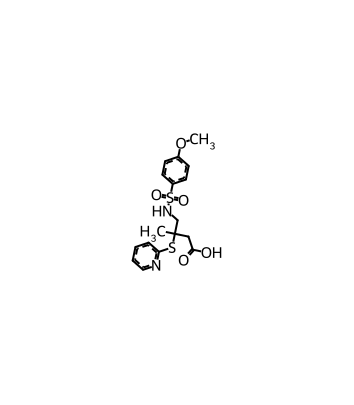 COc1ccc(S(=O)(=O)NCC(C)(CC(=O)O)Sc2ccccn2)cc1